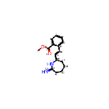 COC(=O)c1ccccc1C=CC1CCCCC(=N)N1